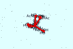 CC(=O)N[C@H]1[C@H](OCCCCCC(=O)NCCCNC(=O)CCC(CCC(=O)NCCCNC(=O)CCCCCO[C@@H]2O[C@H](CO)C[C@H](O)[C@H]2NC(C)=O)(CCC(=O)NCCCNC(=O)CCCCCO[C@@H]2O[C@H](CO)C[C@H](O)[C@H]2NC(C)=O)NC(=O)CCC(=O)O[C@@H]2[C@](N=O)(C(C)C)C[C@@H]3O[C@@]34[C@@]3(C)CCC5=C(COC5=O)C3CO[C@]24C)O[C@H](CO)[C@H](O)[C@@H]1O